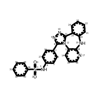 O=S(=O)(Nc1ccc(-c2nnc3n2-c2cccnc2Nc2ccccc2-3)cc1)c1ccccc1